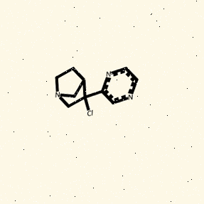 ClC1(c2cnccn2)CN2CCC1C2